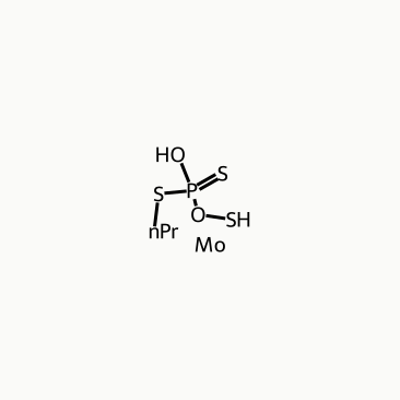 CCCSP(O)(=S)OS.[Mo]